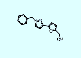 OCc1ccc(-c2ccn(Cc3ccccc3)n2)o1